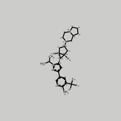 CC(C)n1nc(-c2cnc(N)c(C(F)(F)F)c2)cc1[C@H]1[C@@H]2C[C@@H](N3CCN4CCCC4C3)C[C@@H]21